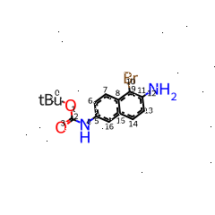 CC(C)(C)OC(=O)Nc1ccc2c(Br)c(N)ccc2c1